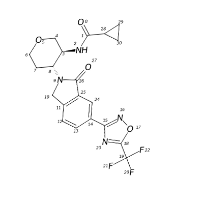 O=C(N[C@@H]1COCC[C@H]1N1Cc2ccc(-c3noc(C(F)(F)F)n3)cc2C1=O)C1CC1